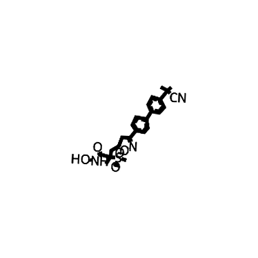 CC(C)(C#N)c1ccc(-c2ccc(C3=NOC(CC(C)(C(=O)NO)S(C)(=O)=O)C3)cc2)cc1